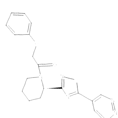 O=C(COc1ccccc1)N1CCCC[C@@H]1c1noc(-c2ccnnc2)n1